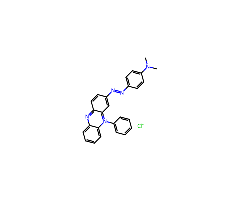 CN(C)c1ccc(N=Nc2ccc3nc4ccccc4[n+](-c4ccccc4)c3c2)cc1.[Cl-]